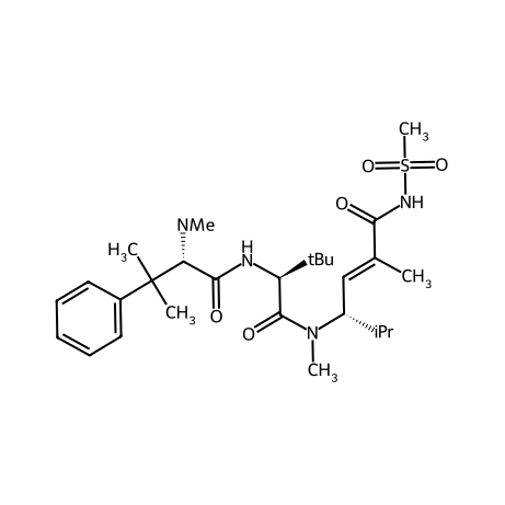 CN[C@H](C(=O)N[C@H](C(=O)N(C)[C@H](/C=C(\C)C(=O)NS(C)(=O)=O)C(C)C)C(C)(C)C)C(C)(C)c1ccccc1